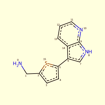 NCc1ccc(-c2c[nH]c3ncccc23)s1